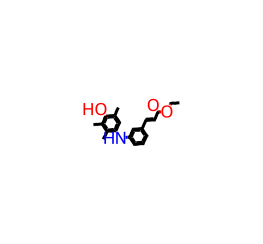 CCOC(=O)C=Cc1cccc(Nc2cc(C)c(O)c(C)c2C)c1